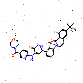 Cn1nc(-c2cccc(-n3ccc4cc(C(C)(C)C#N)cc(F)c4c3=O)c2C=O)cc(Nc2ccc(C(=O)N3CCOCC3)cn2)c1=O